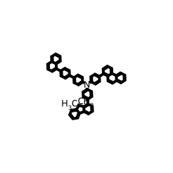 CC1(C)c2ccccc2-c2cccc(-c3ccc(N(c4ccc(-c5ccc(-c6cccc7ccccc67)cc5)cc4)c4ccc(-c5cccc6c5ccc5ccccc56)cc4)cc3)c21